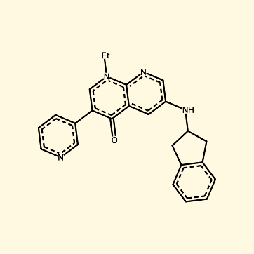 CCn1cc(-c2cccnc2)c(=O)c2cc(NC3Cc4ccccc4C3)cnc21